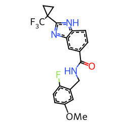 COc1ccc(F)c(CNC(=O)c2ccc3[nH]c(C4(C(F)(F)F)CC4)nc3c2)c1